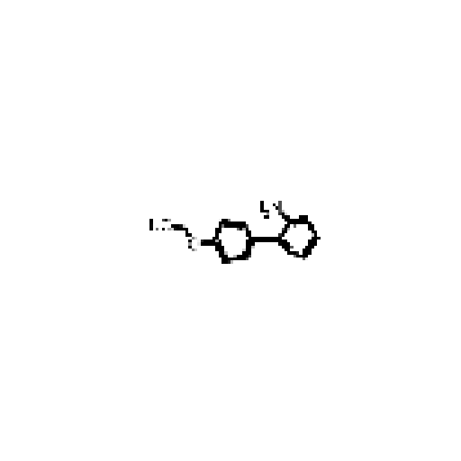 CCOc1ccc(-c2ccccc2N)cc1